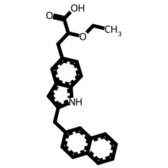 CCOC(Cc1ccc2[nH]c(Cc3ccc4ccccc4c3)cc2c1)C(=O)O